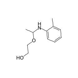 Cc1ccccc1NC(C)OCCO